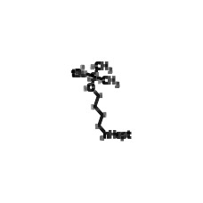 [CH2]CCCCCCCCCCO[Si](C)(C)C(C)(C)C